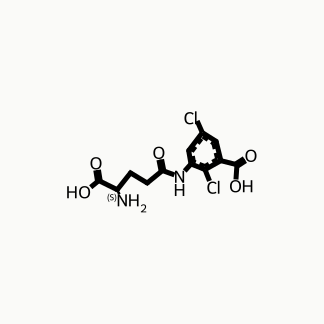 N[C@@H](CCC(=O)Nc1cc(Cl)cc(C(=O)O)c1Cl)C(=O)O